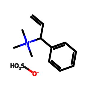 C=CC(c1ccccc1)[N+](C)(C)C.O=S(=O)([O-])O